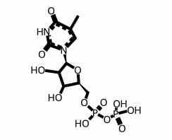 Cc1cn([C@H]2O[C@@H](COP(=O)(O)OP(=O)(O)O)C(O)C2O)c(=O)[nH]c1=O